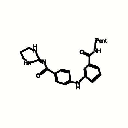 CCCC(C)NC(=O)c1cccc(Nc2ccc(C(=O)N=C3NCCCN3)cc2)c1